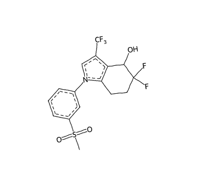 CS(=O)(=O)c1cccc(-n2cc(C(F)(F)F)c3c2CCC(F)(F)C3O)c1